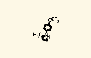 Cc1ccnn1-c1ccc(OC(F)(F)F)cc1